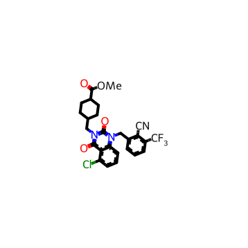 COC(=O)C1CCC(Cn2c(=O)c3c(Cl)cccc3n(Cc3cccc(C(F)(F)F)c3C#N)c2=O)CC1